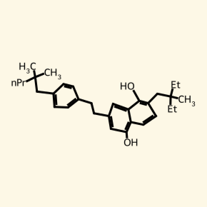 CCCC(C)(C)Cc1ccc(CCc2cc(O)c3ccc(CC(C)(CC)CC)c(O)c3c2)cc1